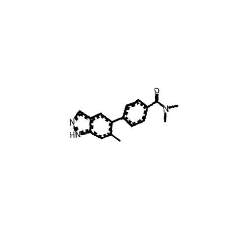 Cc1cc2[nH]ncc2cc1-c1ccc(C(=O)N(C)C)cc1